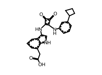 O=C(O)Cc1cccc2c(Nc3c(Nc4cccc(C5CCC5)c4)c(=O)c3=O)c[nH]c12